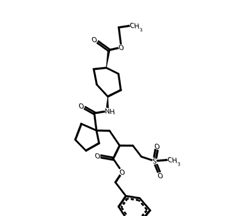 CCOC(=O)[C@H]1CC[C@@H](NC(=O)C2(CC(CCS(C)(=O)=O)C(=O)OCc3ccccc3)CCCC2)CC1